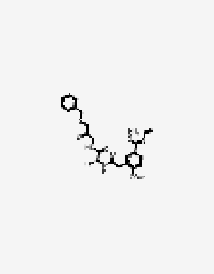 C=C/N=C(\ON)c1ccc(OC)c(CC(=O)N[C@H](C(=O)NCC(=O)CSCc2ccccc2)C(C)C)c1